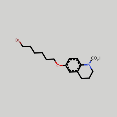 O=C(O)N1CCCc2cc(OCCCCCCBr)ccc21